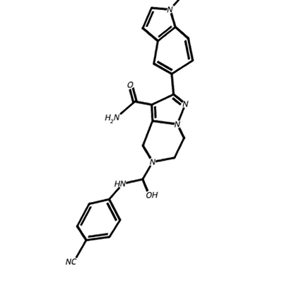 Cn1ccc2cc(-c3nn4c(c3C(N)=O)CN(C(O)Nc3ccc(C#N)cc3)CC4)ccc21